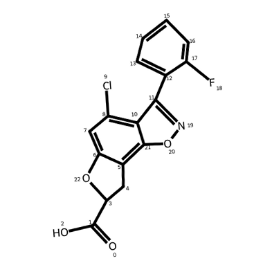 O=C(O)C1Cc2c(cc(Cl)c3c(-c4ccccc4F)noc23)O1